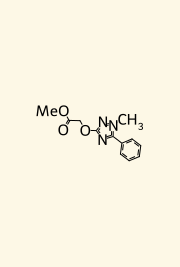 COC(=O)COc1nc(-c2ccccc2)n(C)n1